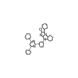 c1ccc(-c2cc(-c3ccccc3)nc(-c3cccc(-n4c5ccccc5n5c6c(nc45)oc4ccccc46)c3)n2)cc1